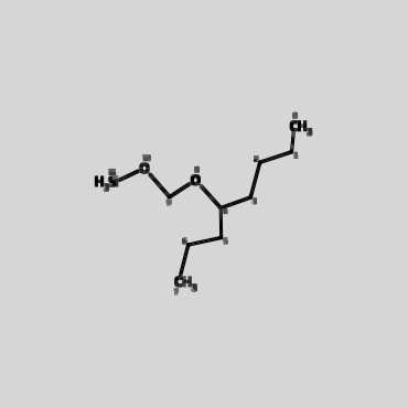 CCCCC(CCC)OCO[SiH3]